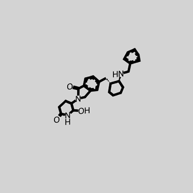 O=C1CCC(N2Cc3cc(C[C@H]4CCCC[C@@H]4NCc4ccccc4)ccc3C2=O)C(O)N1